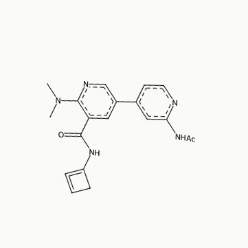 CC(=O)Nc1cc(-c2cnc(N(C)C)c(C(=O)NC3=C=CC3)c2)ccn1